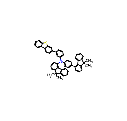 CC1(C)c2ccccc2-c2c(-c3ccc(N(c4cccc(-c5ccc6c(c5)sc5ccccc56)c4)c4cccc5c4-c4ccccc4C5(C)C)cc3)cccc21